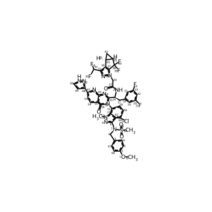 COc1ccc(CN(c2nn(C)c3c(-n4c([C@H](Cc5cc(F)cc(F)c5)NC(=O)Cn5nc(C(F)F)c6c5C(F)(F)[C@@H]5C[C@H]65)nc5nc(-c6cc[nH]n6)ccc5c4=O)ccc(Cl)c23)S(C)(=O)=O)cc1